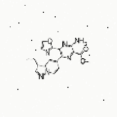 CCc1cnn2ccc(-c3nc(C(=O)OC)c(N)nc3-c3ncco3)cc12